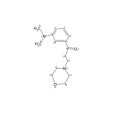 CN(C)c1cccc(C(=O)CCN2CCOCC2)c1